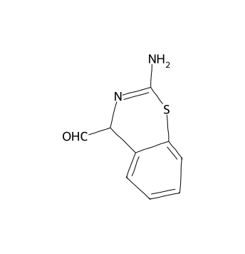 NC1=NC(C=O)c2ccccc2S1